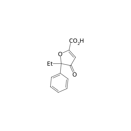 CCC1(c2ccccc2)OC(C(=O)O)=CC1=O